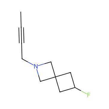 CC#CCN1CC2(CC(F)C2)C1